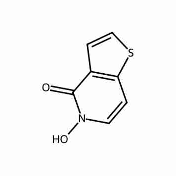 O=c1c2ccsc2ccn1O